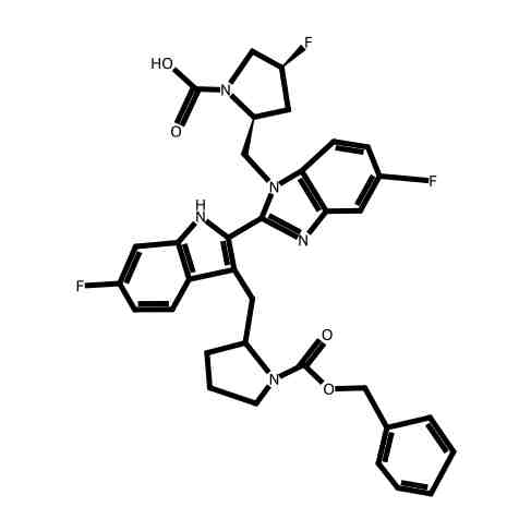 O=C(OCc1ccccc1)N1CCCC1Cc1c(-c2nc3cc(F)ccc3n2C[C@@H]2C[C@H](F)CN2C(=O)O)[nH]c2cc(F)ccc12